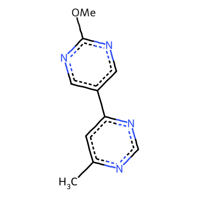 COc1ncc(-c2cc(C)ncn2)cn1